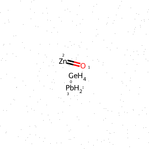 [GeH4].[O]=[Zn].[PbH2]